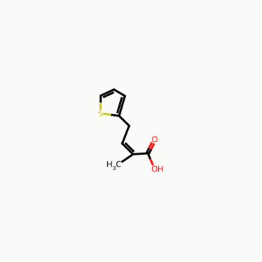 CC(=CCc1cccs1)C(=O)O